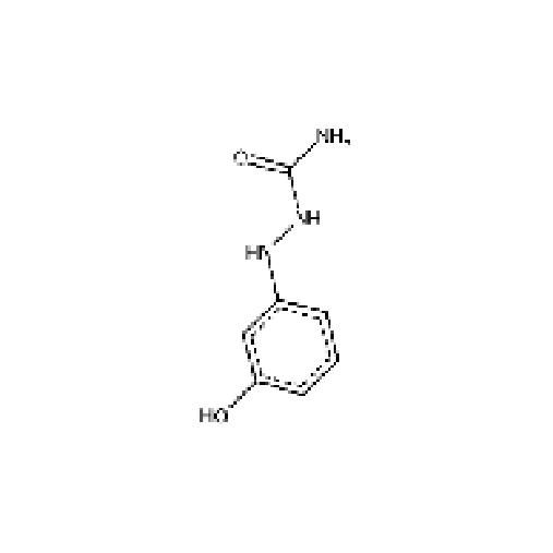 NC(=O)NNc1cccc(O)c1